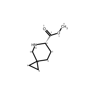 COC(=O)[C@@H]1CCC2(CC2)CN1